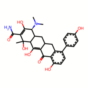 CN(C)[C@@H]1C(O)=C(C(N)=O)C(C)(O)C2C(O)=C3C(=O)c4c(O)ccc(-c5ccc(O)cc5)c4CC3CC21